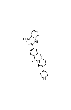 C[C@@H](c1ccc(C(=O)Nc2ccccc2N)cc1)n1nc(-c2ccncc2)ccc1=O